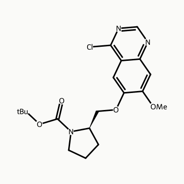 COc1cc2ncnc(Cl)c2cc1OC[C@H]1CCCN1C(=O)OC(C)(C)C